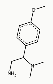 COc1ccc(C(CN)N(C)C)cc1